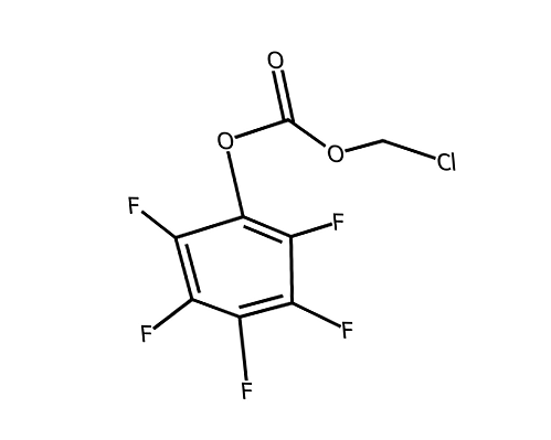 O=C(OCCl)Oc1c(F)c(F)c(F)c(F)c1F